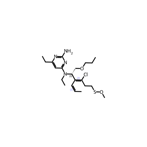 C/C=C\C(=C(\Cl)CCSOC)[C@@H](COCCC)N(CC)c1cc(CC)nc(N)n1